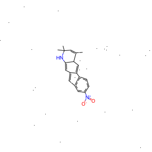 CC1=CC(C)(C)NC2=CC3=Cc4cc([N+](=O)[O-])ccc4C3=CC12